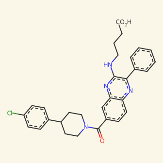 O=C(O)CCCNc1nc2cc(C(=O)N3CCC(c4ccc(Cl)cc4)CC3)ccc2nc1-c1ccccc1